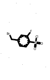 O=S(=O)(Cl)c1ccc(CBr)cc1F